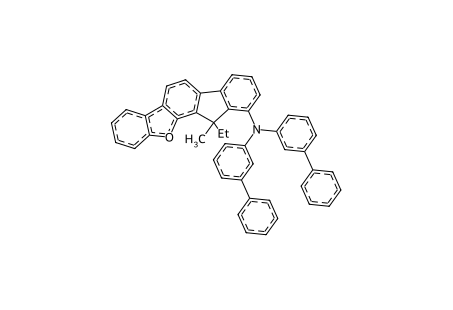 CCC1(C)c2c(cccc2N(c2cccc(-c3ccccc3)c2)c2cccc(-c3ccccc3)c2)-c2ccc3c(oc4ccccc43)c21